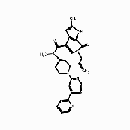 C=CCn1cc(C(=O)N(C)C2CCN(c3cc(-c4ccccn4)ncn3)CC2)c2cc(C)[nH]c2c1=O